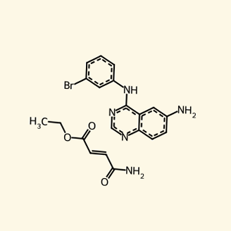 CCOC(=O)C=CC(N)=O.Nc1ccc2ncnc(Nc3cccc(Br)c3)c2c1